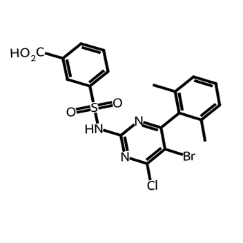 Cc1cccc(C)c1-c1nc(NS(=O)(=O)c2cccc(C(=O)O)c2)nc(Cl)c1Br